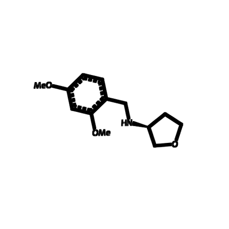 COc1ccc(CN[C@H]2CCOC2)c(OC)c1